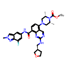 C[C@@H]1CN(c2ccc(C(=O)Nc3cc(F)c4nn(C)cc4c3)c3nc(NC[C@H]4CCOC4)ncc23)C[C@H](C)N1C(=O)OC(C)(C)C